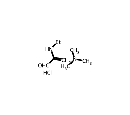 C=C(C=O)NCC.CN(C)C.Cl